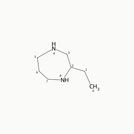 CCC1CNCCCN1